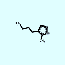 Cc1[nH]ncc1CCCN